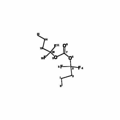 CCCC(F)(F)OC(=O)OC(F)(F)CCC